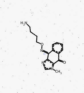 Cn1cnc2c1C(=O)c1ccccc1/C2=N\OCCCCN